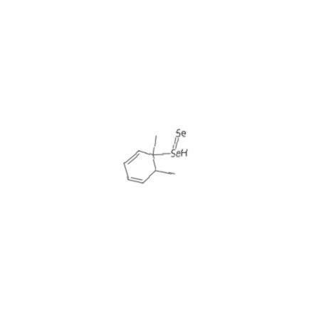 CC1C=CC=CC1(C)[SeH]=[Se]